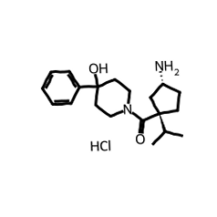 CC(C)[C@]1(C(=O)N2CCC(O)(c3ccccc3)CC2)CC[C@@H](N)C1.Cl